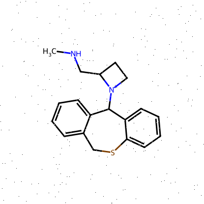 CNCC1CCN1C1c2ccccc2CSc2ccccc21